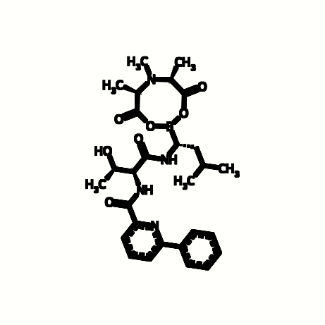 CC(C)C[C@H](NC(=O)[C@@H](NC(=O)c1cccc(-c2ccccc2)n1)[C@@H](C)O)B1OC(=O)[C@@H](C)N(C)[C@@H](C)C(=O)O1